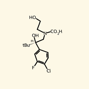 CC(C)(C)[C@](O)(CN(CCO)C(=O)O)c1ccc(Cl)c(F)c1